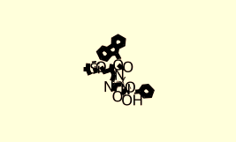 C=C[C@H](CN(C(=O)OCC1c2ccccc2-c2ccccc21)C(C#N)C(=C)CO[Si](C)(C)C(C)(C)C)N(OCc1ccccc1)C(=O)O